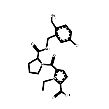 CCn1c(C(=O)O)ccc1C(=O)N1CCCC1C(=O)NCc1cc(Cl)ccc1CN